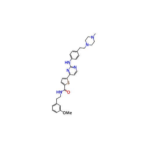 COc1cccc(CCNC(=O)c2ccc(-c3ccnc(Nc4ccc(CCN5CCN(C)CC5)cc4)n3)s2)c1